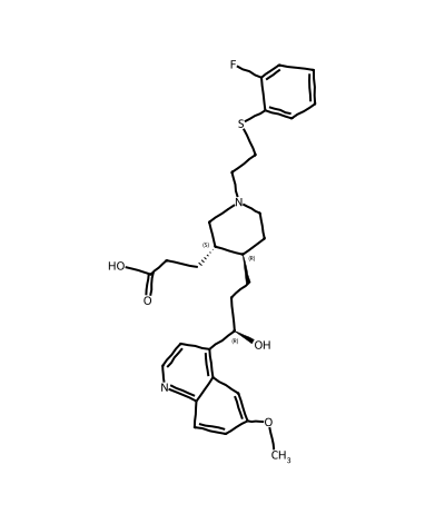 COc1ccc2nccc([C@H](O)CC[C@@H]3CCN(CCSc4ccccc4F)C[C@H]3CCC(=O)O)c2c1